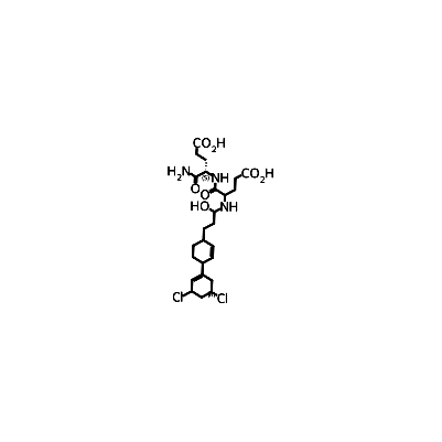 NC(=O)[C@H](CCC(=O)O)NC(=O)C(CCC(=O)O)NC(O)CCC1C=CC(C2=CC(Cl)C[C@H](Cl)C2)CC1